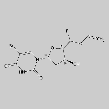 C=COC(F)[C@H]1O[C@@H](n2cc(Br)c(=O)[nH]c2=O)C[C@@H]1O